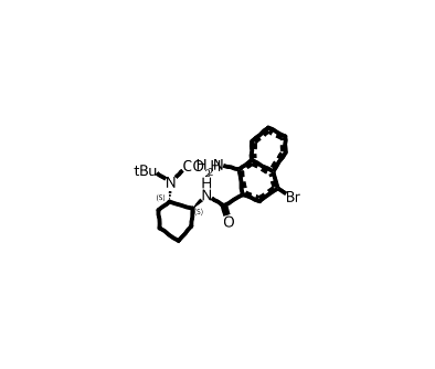 CC(C)(C)N(C(=O)O)[C@H]1CCCC[C@@H]1NC(=O)c1cc(Br)c2ccccc2c1N